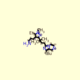 CCC1/C(=C\C=C/N)C(C(C)(C)CCc2nc(C(C)(C)C)c3cnccn23)=NN1C